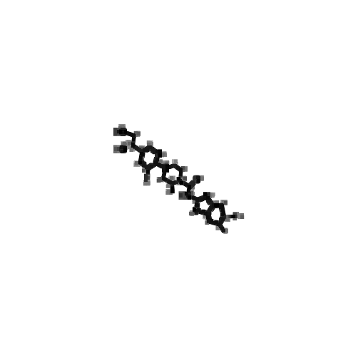 Cc1cc2sc(NC(=O)N3CCN(c4ncc([C@H](O)CO)cc4F)C[C@@H]3C)nc2cc1F